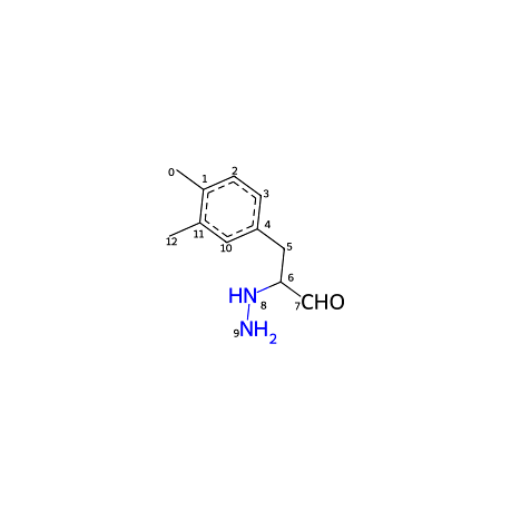 Cc1ccc(CC(C=O)NN)cc1C